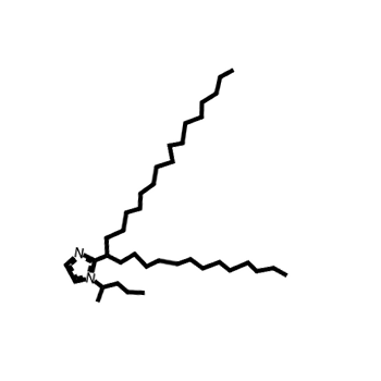 CCCCCCCCCCCCCCCCC(CCCCCCCCCCCCC)c1nccn1C(C)CCC